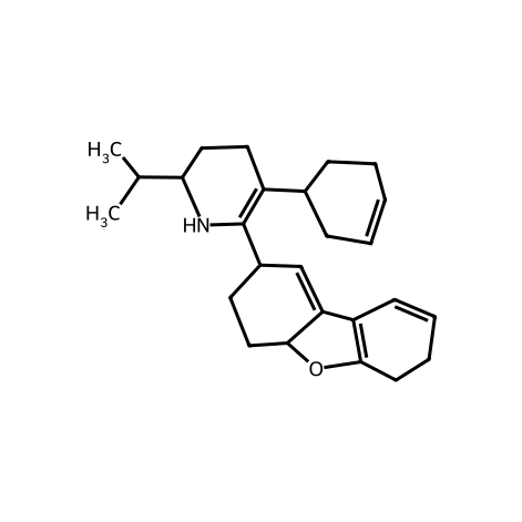 CC(C)C1CCC(C2CC=CCC2)=C(C2C=C3C4=C(CCC=C4)OC3CC2)N1